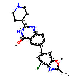 Cc1nc2c(F)cc(-c3ccc4nc(C5CCNCC5)[nH]c(=O)c4c3)cc2o1